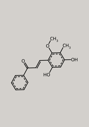 COc1c(C)c(O)cc(O)c1/C=C/C(=O)c1ccccc1